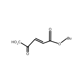 CCC(C)OC(=O)C=CC(=O)C(=O)O